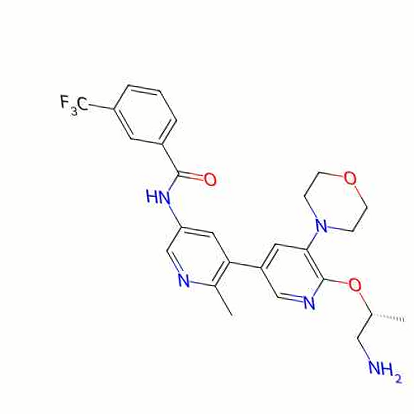 Cc1ncc(NC(=O)c2cccc(C(F)(F)F)c2)cc1-c1cnc(O[C@H](C)CN)c(N2CCOCC2)c1